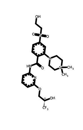 C[Si]1(C)CCN(c2cc(S(=O)(=O)CCO)ccc2C(=O)Nc2cccc(OC[C@H](O)C(F)(F)F)n2)CC1